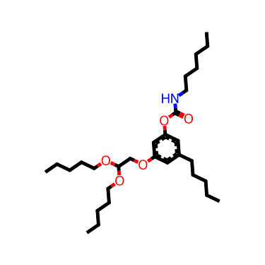 CCCCCCNC(=O)Oc1cc(CCCCC)cc(OCC(OCCCCC)OCCCCC)c1